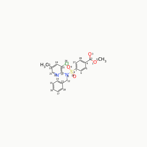 COC(=O)c1ccc(S(=O)(=O)N(Cc2ccccc2)c2ncc(C)cc2Cl)cc1